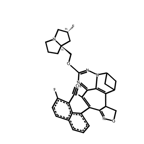 C#Cc1c(F)ccc2cccc(C3=C(F)C4=NC(OC[C@@]56CCCN5C[C@H](F)C6)=NN5C4=C(C4CC5C4)C4CON=C34)c12